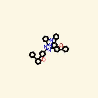 c1ccc(-c2cccc3oc4cc(-c5nc(-c6ccc7c(c6)oc6ccccc67)nc(-c6ccccc6-n6c7ccccc7c7ccccc76)n5)ccc4c23)cc1